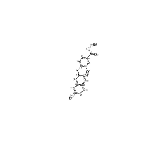 CC(C)(C)OC(=O)c1ccc(CN2C=c3nc(Br)cnc3=C[NH+]2[O-])cc1